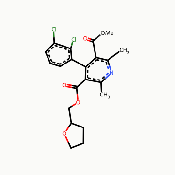 COC(=O)c1c(C)nc(C)c(C(=O)OCC2CCCO2)c1-c1cccc(Cl)c1Cl